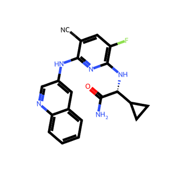 N#Cc1cc(F)c(N[C@@H](C(N)=O)C2CC2)nc1Nc1cnc2ccccc2c1